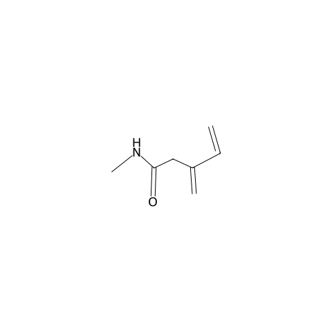 C=CC(=C)CC(=O)NC